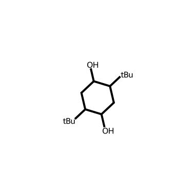 CC(C)(C)C1CC(O)C(C(C)(C)C)CC1O